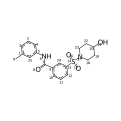 Cc1cccc(NC(=O)c2cccc(S(=O)(=O)N3CCC(O)CC3)c2)c1